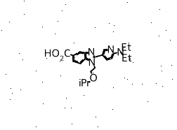 CCN(CC)c1ccc(-c2nc3cc(C(=O)O)ccc3n2CCOC(C)C)cn1